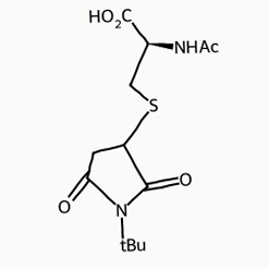 CC(=O)N[C@@H](CSC1CC(=O)N(C(C)(C)C)C1=O)C(=O)O